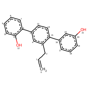 C=CCc1cc(-c2ccccc2O)ccc1-c1cccc(O)c1